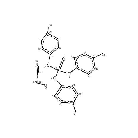 Cc1ccc(OP(=O)(Oc2ccc(C)cc2)Oc2ccc(C)cc2)cc1.N#CNCl